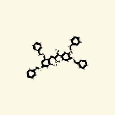 Oc1cc(OCc2ccccc2)cc(OCc2ccccc2)c1CC(O)C(O)c1ccc(OCc2ccccc2)c(OCc2ccccc2)c1